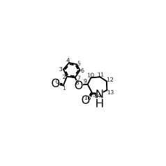 O=Cc1ccccc1OC1CCCCNC1=O